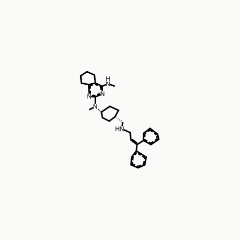 CNc1nc(N(C)[C@H]2CC[C@@H](CNCC=C(c3ccccc3)c3ccccc3)CC2)nc2c1CCCC2